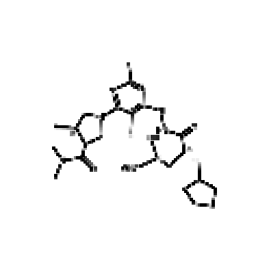 Cc1nc(NNC(=O)[C@H](CC2CCCC2)CN(O)C=O)c(F)c(N2CC(C(=O)N(C)C)[C@@H](C)C2)n1